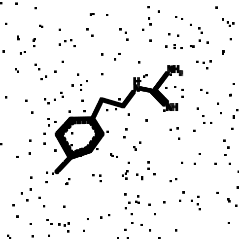 Cc1ccc(CCNC(=N)N)cc1